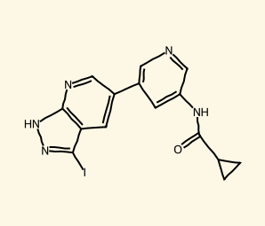 O=C(Nc1cncc(-c2cnc3[nH]nc(I)c3c2)c1)C1CC1